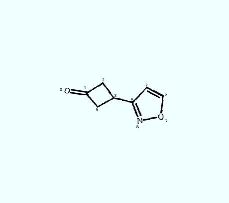 O=C1CC(c2ccon2)C1